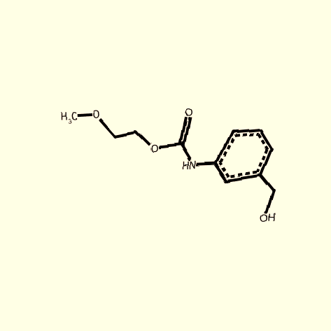 COCCOC(=O)Nc1cccc(CO)c1